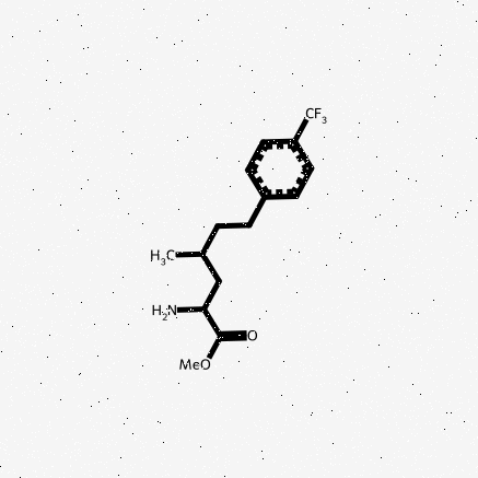 COC(=O)C(N)CC(C)CCc1ccc(C(F)(F)F)cc1